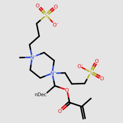 C=C(C)C(=O)OC(CCCCCCCCCC)[N+]1(CCCS(=O)(=O)[O-])CC[N+](C)(CCCS(=O)(=O)[O-])CC1